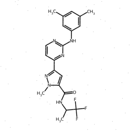 Cc1cc(C)cc(Nc2nccc(-c3cc(C(=O)NC(C)C(F)(F)F)n(C)n3)n2)c1